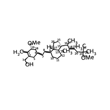 C=C1[C@H](CO)C/C(=C/C=C2\CCC[C@]3(C)[C@@H]([C@@H](C)/C=C/CC(C)(C)OC)CC[C@@H]23)C[C@H]1OC